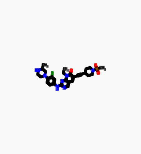 CC1CN(c2ccc(Nc3ncc4cc(C#CC5CCN(S(C)(=O)=O)CC5)c(=O)n(CC(F)(F)F)c4n3)cc2F)CCN1